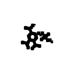 NS(N)(=O)=O.O=[N+]([O-])c1ccc(I(=O)=O)c([N+](=O)[O-])c1